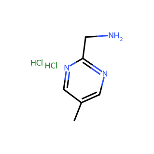 Cc1cnc(CN)nc1.Cl.Cl